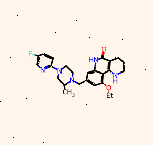 CCOc1cc(CN2CCN(c3ccc(F)cn3)CC2C)cc2[nH]c(=O)c3c(c12)NCCC3